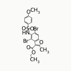 CCOC(=O)c1c(C)oc2cc(Br)c(NS(=O)(=O)c3ccc(OC)cc3)c(Br)c12